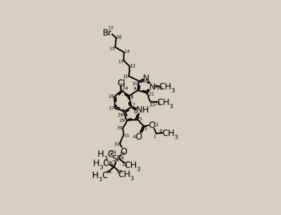 CCOC(=O)c1[nH]c2c(-c3c(CCCCCCBr)nn(C)c3CC)c(Cl)ccc2c1CCCO[Si](C)(C)C(C)(C)C